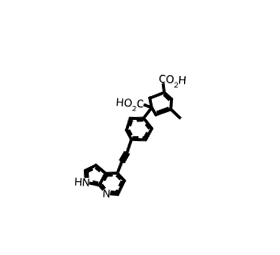 CC1=CC(C(=O)O)(c2ccc(C#Cc3ccnc4[nH]ccc34)cc2)CC(C(=O)O)=C1